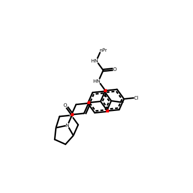 CCCNC(=O)Nc1cc(Cl)ccc1C=CC(=O)N1C2CCC1CN(Cc1ccc(F)cc1)C2